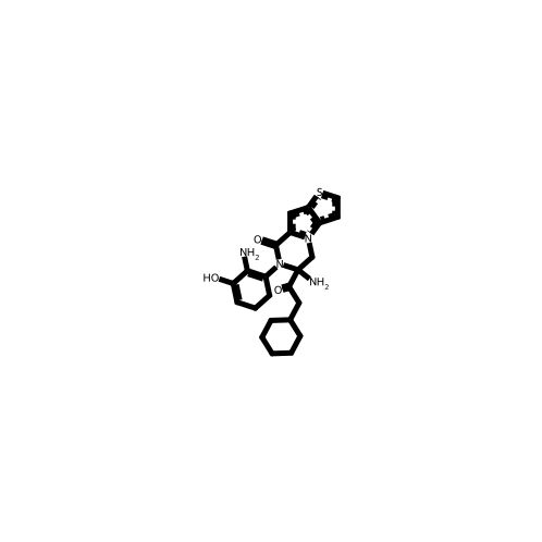 NC1=C(N2C(=O)c3cc4sccc4n3CC2(N)C(=O)CC2CCCCC2)CCC=C1O